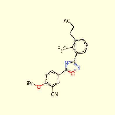 CC(=O)CCc1cccc(-c2noc(-c3ccc(OC(C)C)c(C#N)c3)n2)c1C(F)(F)F